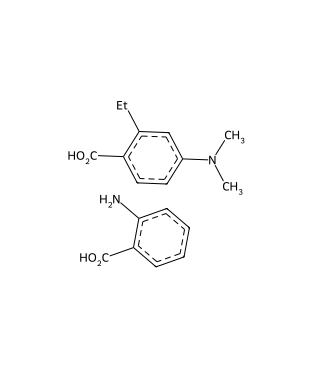 CCc1cc(N(C)C)ccc1C(=O)O.Nc1ccccc1C(=O)O